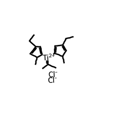 CCC1=CC(C)[C]([Ti+2]([C]2=CC(CC)=CC2C)=[C](C)C)=C1.[Cl-].[Cl-]